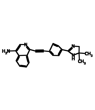 CC1(C)CN=C(c2ccc(C#Cc3ncc(N)c4ccccc34)cc2)N1